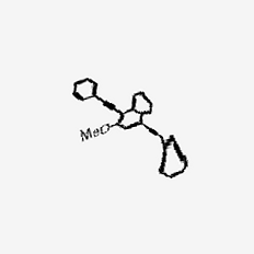 COc1cc(C#Cc2ccccc2)c2ccccc2c1C#Cc1ccccc1